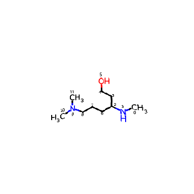 CNC(CCO)CCCN(C)C